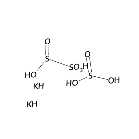 O=S(O)O.O=S(O)S(=O)(=O)O.[KH].[KH]